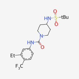 CCc1cc(NC(=O)N2CCC(NS(=O)(=O)C(C)(C)C)CC2)ccc1C(F)(F)F